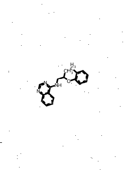 Cc1ccccc1OC(C)CNc1ncnc2ccccc12